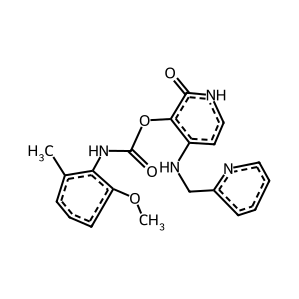 COc1cccc(C)c1NC(=O)Oc1c(NCc2ccccn2)cc[nH]c1=O